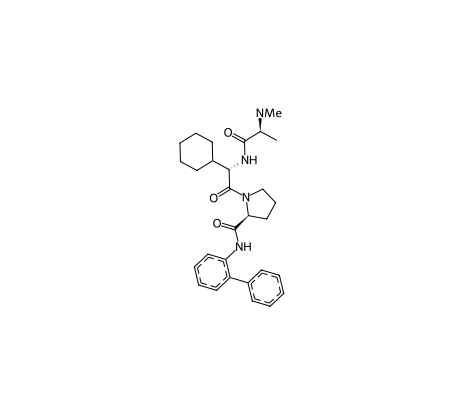 CN[C@@H](C)C(=O)N[C@H](C(=O)N1CCC[C@H]1C(=O)Nc1ccccc1-c1ccccc1)C1CCCCC1